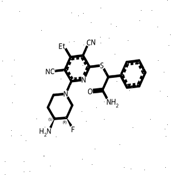 CCc1c(C#N)c(SC(C(N)=O)c2ccccc2)nc(N2CC[C@H](N)[C@H](F)C2)c1C#N